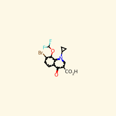 O=C(O)c1cn(C2CC2)c2c(OC(F)F)c(Br)ccc2c1=O